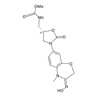 COC(=O)NC[C@H]1CN(c2ccc3c(c2)OCC(=NO)N3C)C(=O)O1